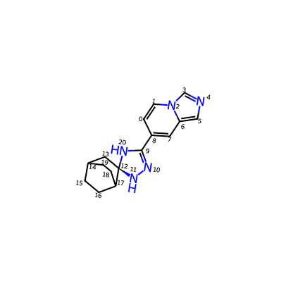 c1cn2cncc2cc1C1=NN[C@@]2(CC3CCC2CC3)N1